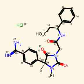 CCN1C(=O)N(CC(=O)N[C@@H](CC(=O)O)c2ccccc2)C(=O)[C@]1(C)c1ccc(C(=N)N)cc1.Cl